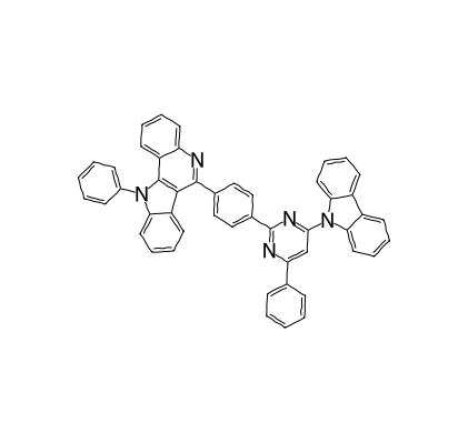 c1ccc(-c2cc(-n3c4ccccc4c4ccccc43)nc(-c3ccc(-c4nc5ccccc5c5c4c4ccccc4n5-c4ccccc4)cc3)n2)cc1